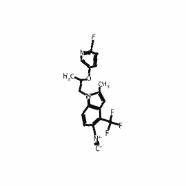 [C-]#[N+]c1ccc2c(cc(C)n2CC(C)Oc2ccc(F)nc2)c1C(F)(F)F